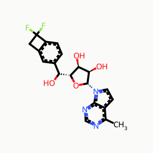 Cc1ncnc2c1ccn2[C@@H]1O[C@H](C(O)c2ccc3c(c2)CC3(F)F)[C@@H](O)[C@H]1O